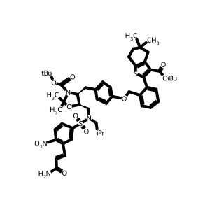 CC(C)COC(=O)c1c(-c2ccccc2COc2ccc(C[C@H]3[C@@H](CN(CC(C)C)S(=O)(=O)c4ccc([N+](=O)[O-])c(/C=C/C(N)=O)c4)OC(C)(C)N3C(=O)OC(C)(C)C)cc2)sc2c1CC(C)(C)CC2